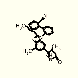 CCCCc1nc2c(C)cc(C3=NNC(=O)CC3C)cc2n1-c1ccccc1-c1ccccc1C#N